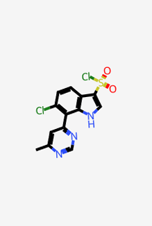 Cc1cc(-c2c(Cl)ccc3c(S(=O)(=O)Cl)c[nH]c23)ncn1